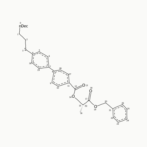 CCCCCCCCCCCCSc1ccc(-c2ccc(C(=O)O[C@@H](C)C(=O)OCc3ccccc3)cc2)cc1